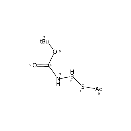 CC(=O)SBNC(=O)OC(C)(C)C